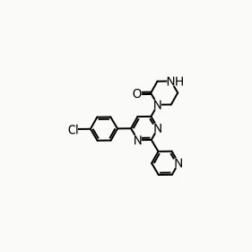 O=C1CNCCN1c1cc(-c2ccc(Cl)cc2)nc(-c2cccnc2)n1